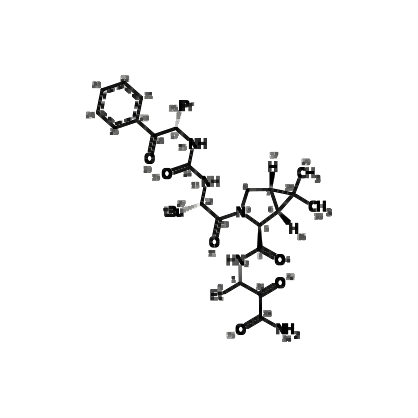 CCC(NC(=O)[C@@H]1[C@@H]2[C@H](CN1C(=O)[C@@H](NC(=O)N[C@H](C(=O)c1ccccc1)C(C)C)C(C)(C)C)C2(C)C)C(=O)C(N)=O